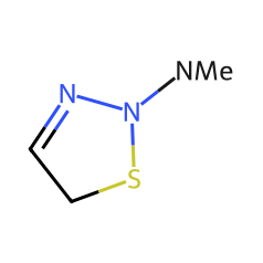 CNN1N=CCS1